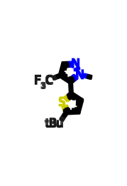 Cn1ncc(C(F)(F)F)c1-c1ccc(C(C)(C)C)s1